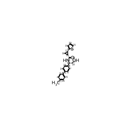 Cc1ccc(-c2ccc([C@H](CO)NC(=O)[C@@H]3C[C@H]3c3cccs3)cc2)cc1